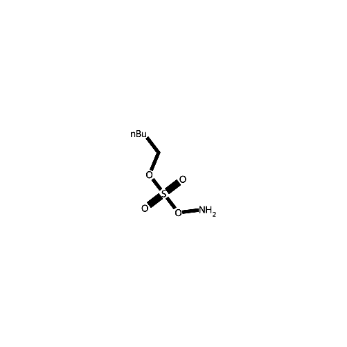 CCCCCOS(=O)(=O)ON